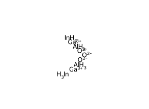 [AlH3].[AlH3].[Ga+3].[Ga+3].[InH3].[InH3].[O-2].[O-2].[O-2]